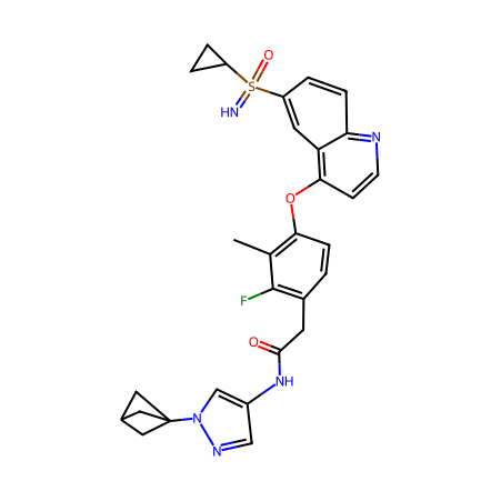 Cc1c(Oc2ccnc3ccc(S(=N)(=O)C4CC4)cc23)ccc(CC(=O)Nc2cnn(C34CC(C3)C4)c2)c1F